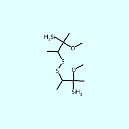 COC(C)([SiH3])C(C)SSC(C)C(C)([SiH3])OC